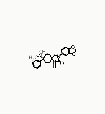 CN(C)[C@]1(c2ccccc2)CC[C@@]2(CC1)CN(c1ccc3c(c1)OCO3)C(=O)N2